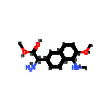 CNc1c(OC)ccc2cc([C@H](N)C(=O)OC)ccc12